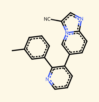 Cc1cccc(-c2ncccc2-c2ccc3ncc(C#N)n3c2)c1